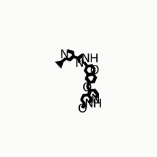 O=C1CCc2c(Oc3ccc4c(c3)CC(c3nc(-c5ccnc(C6CC6)c5)c[nH]3)CO4)ccnc2N1